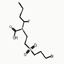 CCCC(F)N(CCS(=O)(=O)CCCBr)C(=O)O